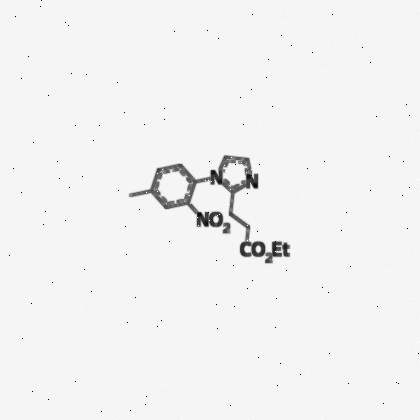 CCOC(=O)CCc1nccn1-c1ccc(C)cc1[N+](=O)[O-]